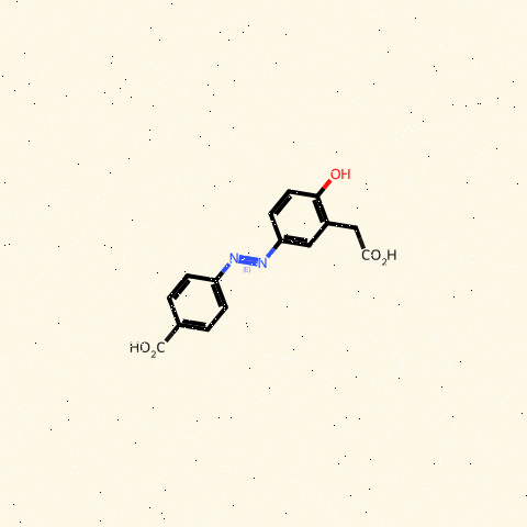 O=C(O)Cc1cc(/N=N/c2ccc(C(=O)O)cc2)ccc1O